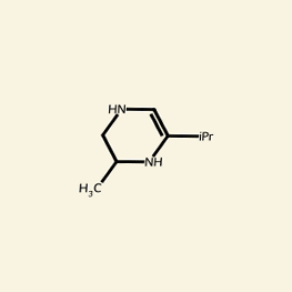 CC1CNC=C(C(C)C)N1